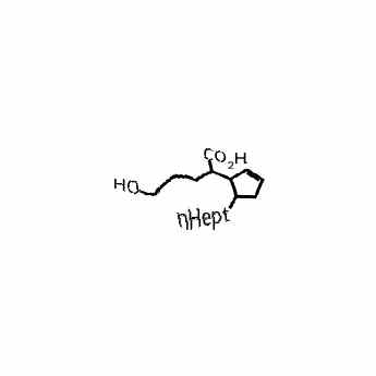 CCCCCCCC1CC=CC1C(CCCO)C(=O)O